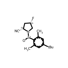 Cc1cc(C(C)(C)C)cc(C)c1[S+]([O-])N1C[C@@H](F)C[C@H]1C#N